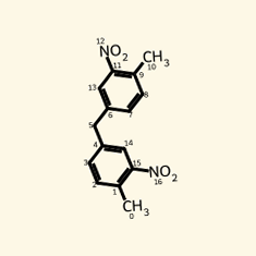 Cc1ccc(Cc2ccc(C)c([N+](=O)[O-])c2)cc1[N+](=O)[O-]